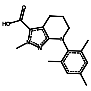 Cc1cc(C)c(N2CCCc3c2nn(C)c3C(=O)O)c(C)c1